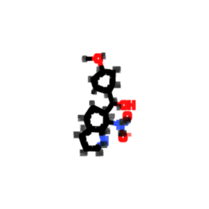 COc1ccc(C(O)c2ccc3cccnc3c2[N+](=O)[O-])cc1